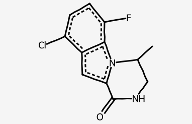 CC1CNC(=O)c2cc3c(Cl)ccc(F)c3n21